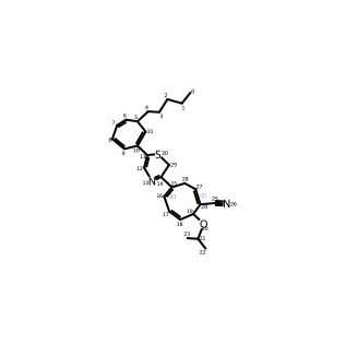 CCCCCC1C=CC=CC(C2=CN=C(/C3=C/C=CC(OC(C)C)/C(C#N)=C\C3)CS2)=C1